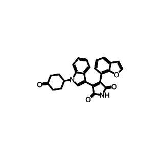 O=C1CCC(n2cc(C3=C(c4cccc5ccoc45)C(=O)NC3=O)c3ccccc32)CC1